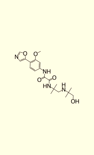 COc1cc(NC(=O)C(=O)NC(C)(C)CNC(C)(C)CO)ccc1-c1cnco1